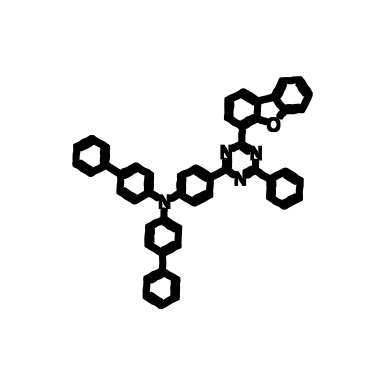 c1ccc(-c2ccc(N(c3ccc(-c4ccccc4)cc3)c3ccc(-c4nc(-c5ccccc5)nc(-c5cccc6c5oc5ccccc56)n4)cc3)cc2)cc1